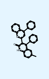 Cc1ccc2[nH]c(=O)c(-c3cc(-c4ccccc4)c4ccccc4n3)c(-c3ccccc3)c2c1